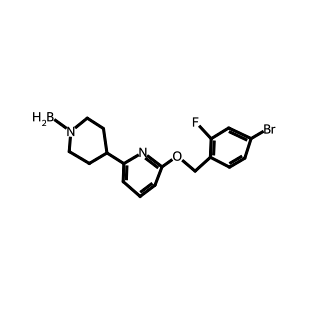 BN1CCC(c2cccc(OCc3ccc(Br)cc3F)n2)CC1